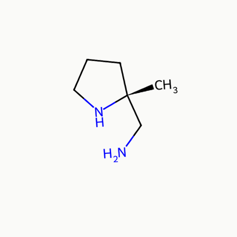 C[C@]1(CN)CCCN1